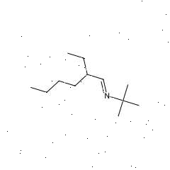 CCCCC(/C=N/C(C)(C)C)CC